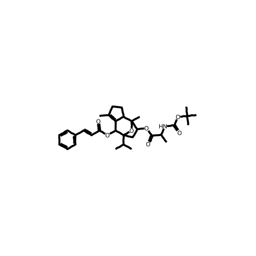 CC1=C2C(CC1)C1(C)OC(C(C)C)(CC1OC(=O)C(C)NC(=O)OC(C)(C)C)C2OC(=O)/C=C/c1ccccc1